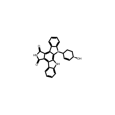 O=C1NC(=O)c2c1c1c3ccccc3[nH]c1c1c2c2ccccc2n1C1C=C[C@H](O)CC1